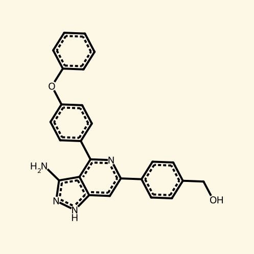 Nc1n[nH]c2cc(-c3ccc(CO)cc3)nc(-c3ccc(Oc4ccccc4)cc3)c12